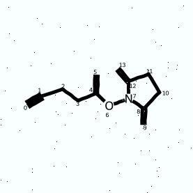 C#CCCC(=C)ON1C(=C)CCC1=C